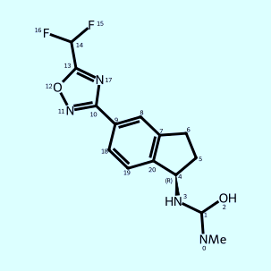 CNC(O)N[C@@H]1CCc2cc(-c3noc(C(F)F)n3)ccc21